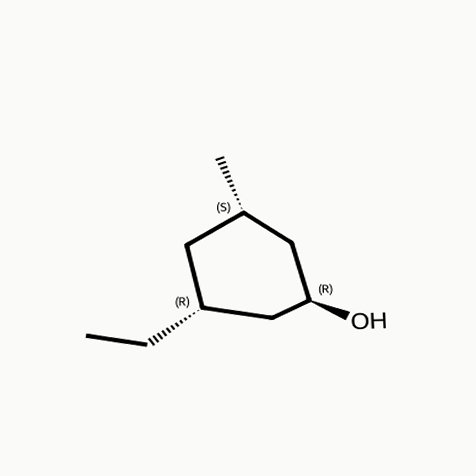 CC[C@@H]1C[C@H](C)C[C@@H](O)C1